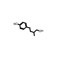 CC(CO)C[CH]c1ccc(C#N)cc1